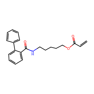 C=CC(=O)OCCCCCNC(=O)c1ccccc1-c1ccccc1